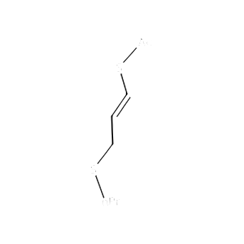 CCCSCC=CSC(C)=O